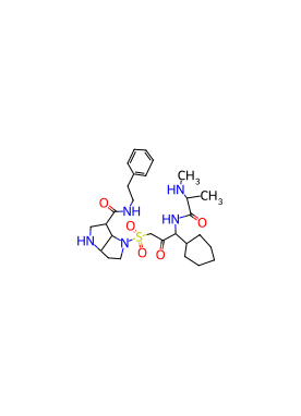 CNC(C)C(=O)NC(C(=O)CS(=O)(=O)N1CCC2NCC(C(=O)NCCc3ccccc3)C21)C1CCCCC1